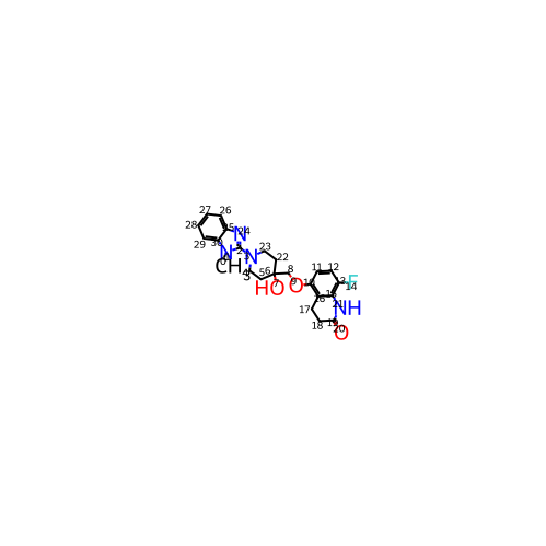 Cn1c(N2CCC(O)(COc3ccc(F)c4c3CCC(=O)N4)CC2)nc2ccccc21